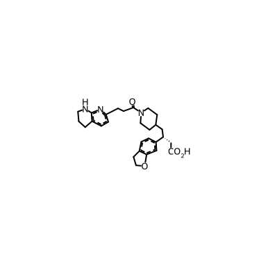 O=C(O)C[C@@H](CC1CCN(C(=O)CCc2ccc3c(n2)NCCC3)CC1)c1ccc2c(c1)OCC2